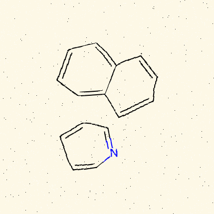 [c]1cccc2ccccc12.c1ccncc1